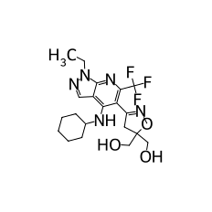 CCn1ncc2c(NC3CCCCC3)c(C3=NOC(CO)(CO)C3)c(C(F)(F)F)nc21